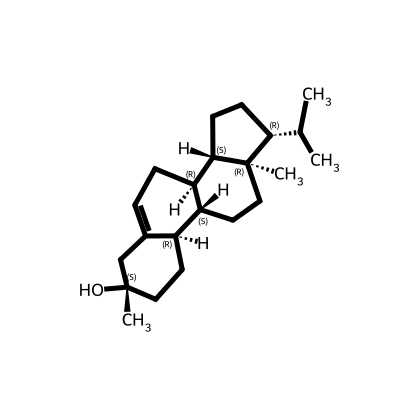 CC(C)[C@H]1CC[C@H]2[C@@H]3CC=C4C[C@@](C)(O)CC[C@@H]4[C@H]3CC[C@]12C